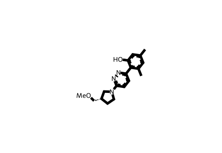 COC[C@H]1CCN(c2ccc(-c3c(C)cc(C)cc3O)nn2)C1